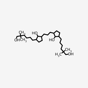 CC(C)(CO)CCCCC1CCC(CCCC2CCC(CCCCC(C)(C)CO)C2O)C1O